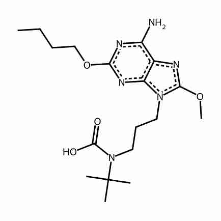 CCCCOc1nc(N)c2nc(OC)n(CCCN(C(=O)O)C(C)(C)C)c2n1